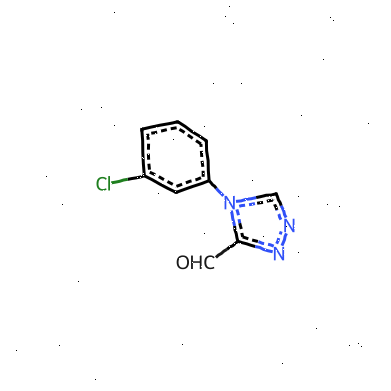 O=Cc1nncn1-c1cccc(Cl)c1